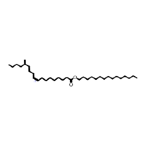 CCCCCCCCCCCCCCCOC(=O)CCCCCCC/C=C\CCCC(C)CCCC